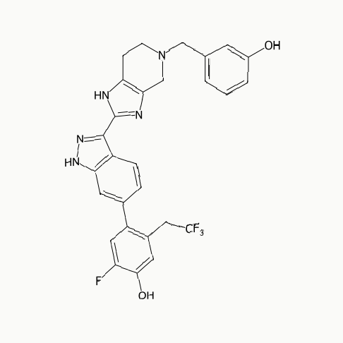 Oc1cccc(CN2CCc3[nH]c(-c4n[nH]c5cc(-c6cc(F)c(O)cc6CC(F)(F)F)ccc45)nc3C2)c1